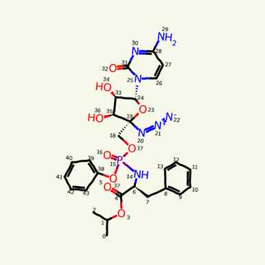 CC(C)OC(=O)[C@H](Cc1ccccc1)NP(=O)(OC[C@@]1(N=[N+]=[N-])O[C@@H](n2ccc(N)nc2=O)[C@H](O)[C@@H]1O)Oc1ccccc1